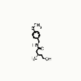 COc1ccc(CNC(=O)C[C@H](C)CCO)cc1